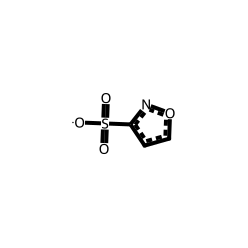 [O]S(=O)(=O)c1ccon1